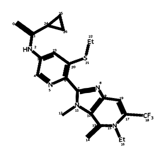 C=C(Nc1cnc(-c2nc3c(n2C)C(=C)N(CC)C(C(F)(F)F)=C3)c(SCC)c1)C1CC1